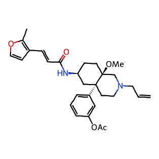 C=CCN1CC[C@@]2(c3cccc(OC(C)=O)c3)C[C@@H](NC(=O)C=Cc3ccoc3C)CC[C@]2(OC)C1